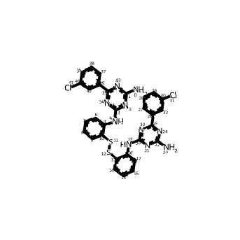 Nc1nc(Nc2ccccc2SSc2ccccc2Nc2nc(N)nc(-c3cccc(Cl)c3)n2)nc(-c2cccc(Cl)c2)n1